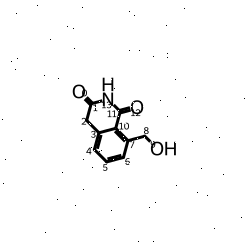 O=C1Cc2cccc(CO)c2C(=O)N1